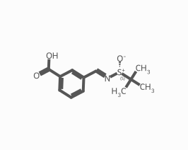 CC(C)(C)[S@@+]([O-])N=Cc1cccc(C(=O)O)c1